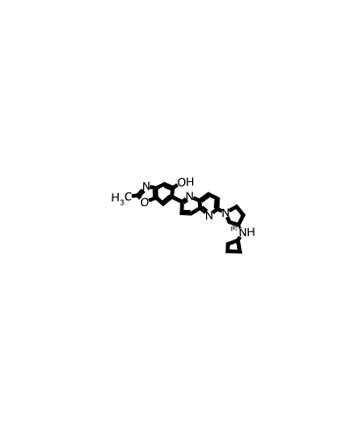 Cc1nc2cc(O)c(-c3ccc4nc(N5CC[C@@H](NC6CCC6)C5)ccc4n3)cc2o1